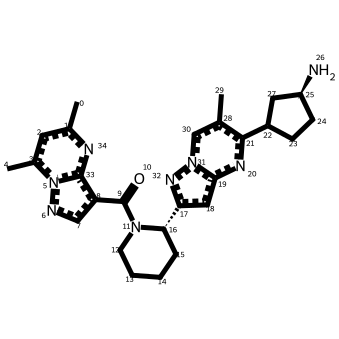 Cc1cc(C)n2ncc(C(=O)N3CCCC[C@H]3c3cc4nc(C5CC[C@H](N)C5)c(C)cn4n3)c2n1